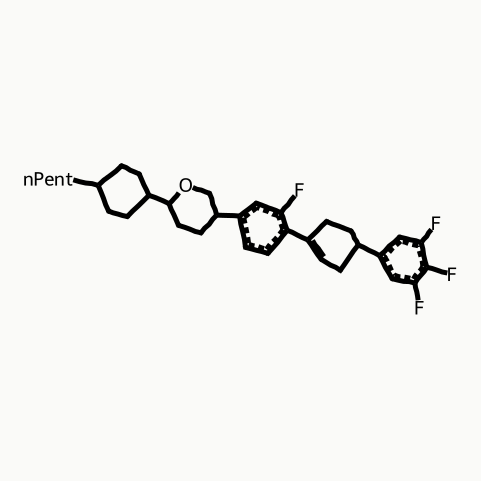 CCCCCC1CCC(C2CCC(c3ccc(C4=CCC(c5cc(F)c(F)c(F)c5)CC4)c(F)c3)CO2)CC1